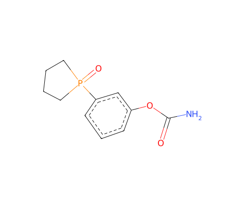 NC(=O)Oc1cccc(P2(=O)CCCC2)c1